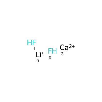 F.F.[Ca+2].[Li+]